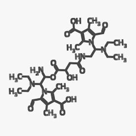 CCN(CC)C(CNC(=O)CC(O)C(=O)OC(N)C(N(CC)CC)n1c(C)c(C(=O)O)c(C)c1C=O)n1c(C)c(C(=O)O)c(C)c1C=O